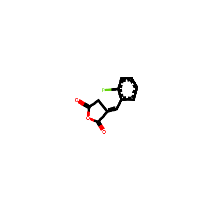 O=C1CC(=Cc2ccccc2F)C(=O)O1